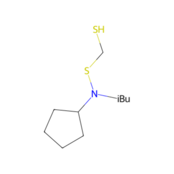 CCC(C)N(SCS)C1CCCC1